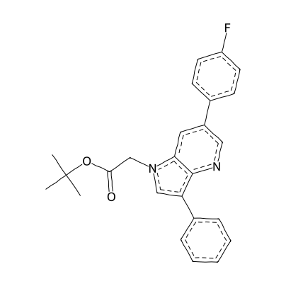 CC(C)(C)OC(=O)Cn1cc(-c2ccccc2)c2ncc(-c3ccc(F)cc3)cc21